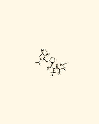 CN[C@@H](C)C(=O)NC(C(=O)N1CCCC1CN1C(=O)C(N)CC1C(C)C)C(C)(C)C